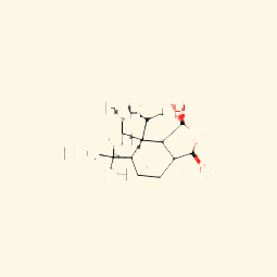 CCC1(C(C)C)C2C(=O)OC(=O)C2CCC1C(C)(C)C